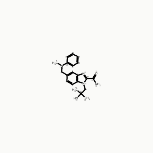 CN(Cc1ccc2c(c1)nc(C(N)=O)n2CC(C)(C)O)c1ccccc1